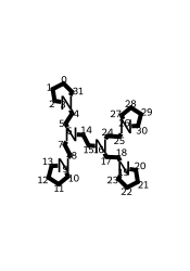 C1CCN(CCN(CCN2CCCC2)CCN(CCN2CCCC2)CCN2CCCC2)C1